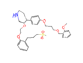 COc1ccccc1COCCCOc1ccc(C2CCNCC2OCCOc2ccccc2CCCS(C)(=O)=O)cc1